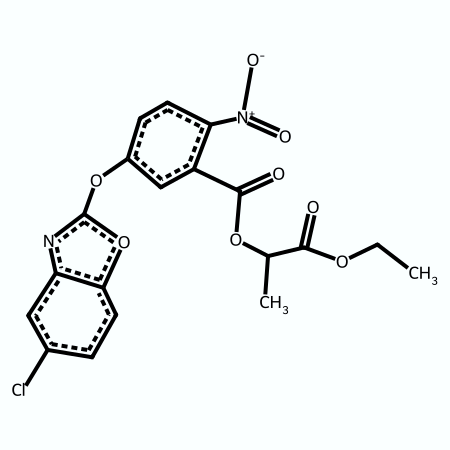 CCOC(=O)C(C)OC(=O)c1cc(Oc2nc3cc(Cl)ccc3o2)ccc1[N+](=O)[O-]